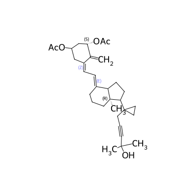 C=C1/C(=C\C=C2/CCC[C@@]3(C)C2CCC3C2(CC#CC(C)(C)O)CC2)CC(OC(C)=O)C[C@@H]1OC(C)=O